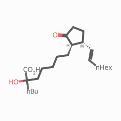 CCCCCCC=C[C@H]1CCC(=O)[C@@H]1CCCCCC(O)(CCCC)C(=O)O